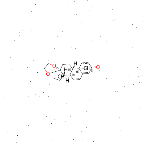 C[C@]12C=CC(=O)C=C1C=C[C@@H]1[C@@H]2CC[C@@]2(C)[C@H]1CCC21OCCO1